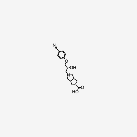 N#Cc1ccc(OC[C@@H](O)CN2CC3CN(C(=O)O)CC3C2)cc1